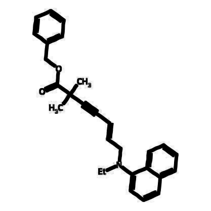 CCN(CC=CC#CC(C)(C)C(=O)OCc1ccccc1)c1cccc2ccccc12